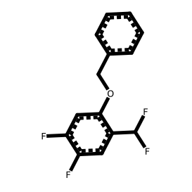 Fc1cc(OCc2ccccc2)c(C(F)F)cc1F